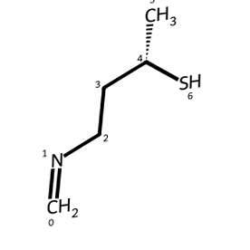 C=NCC[C@H](C)S